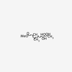 COC(=O)C=CC(C)=CC(C)=CC=CC=C[C@H](O)[C@@H](O)C[C@H](C)O